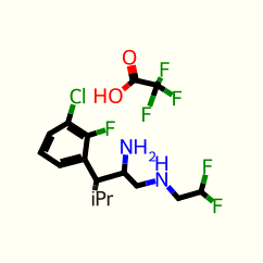 CC(C)C(c1cccc(Cl)c1F)C(N)CNCC(F)F.O=C(O)C(F)(F)F